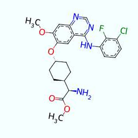 COC(=O)[C@H](N)[C@H]1CC[C@H](Oc2cc3c(Nc4cccc(Cl)c4F)ncnc3cc2OC)CC1